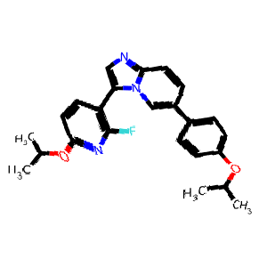 CC(C)Oc1ccc(-c2ccc3ncc(-c4ccc(OC(C)C)nc4F)n3c2)cc1